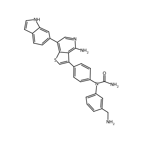 NCc1cccc(N(C(N)=O)c2ccc(-c3csc4c(-c5ccc6cc[nH]c6c5)cnc(N)c34)cc2)c1